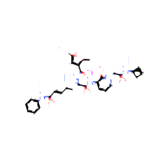 Cc1oc(Br)cc1C(=O)N[C@@H](CC/C=C/C(=O)Nc1ccccc1)C(=O)Nc1cccn(CC(=O)NC23CC(C2)C3)c1=O